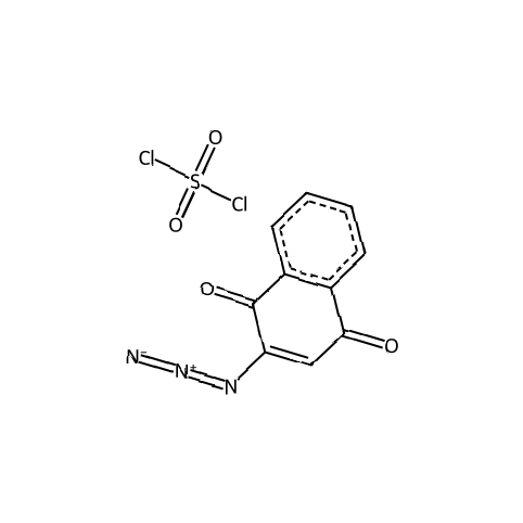 O=S(=O)(Cl)Cl.[N-]=[N+]=NC1=CC(=O)c2ccccc2C1=O